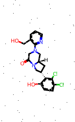 O=C1CN(c2ncccc2CO)C[C@@H]2C[C@H](c3c(O)ccc(Cl)c3Cl)CN12